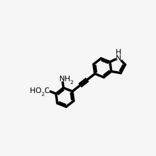 Nc1c(C#Cc2ccc3[nH]ccc3c2)cccc1C(=O)O